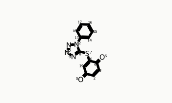 O=C1C=CC(=O)C(Sc2nnnn2-c2ccccc2)=C1